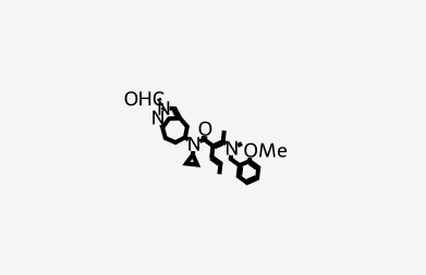 C/C=C/C(C(=O)N(C1CC1)C1CCC2=NN(C=O)C=C(C2)C1)=C(/C)N(C)Cc1ccccc1OC